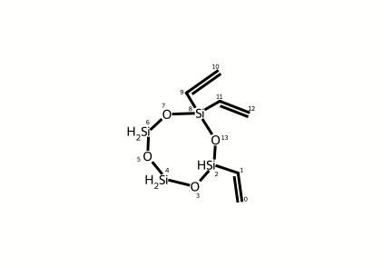 C=C[SiH]1O[SiH2]O[SiH2]O[Si](C=C)(C=C)O1